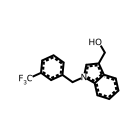 OCc1cn(Cc2cccc(C(F)(F)F)c2)c2ccccc12